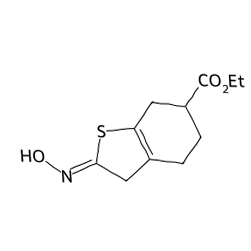 CCOC(=O)C1CCC2=C(C1)SC(=NO)C2